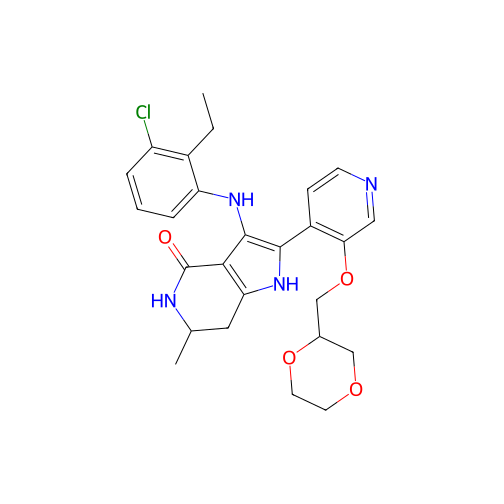 CCc1c(Cl)cccc1Nc1c(-c2ccncc2OCC2COCCO2)[nH]c2c1C(=O)NC(C)C2